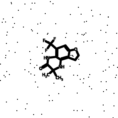 CC1(C)Nc2c3c(cc(C(F)(F)F)c2NC1=O)OCC3